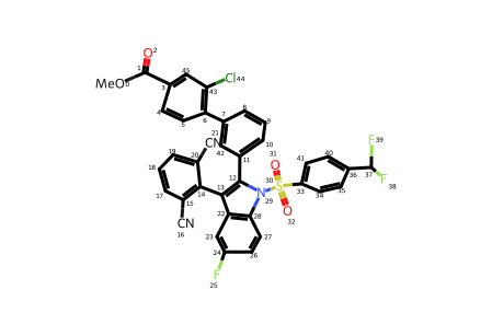 COC(=O)c1ccc(-c2cccc(-c3c(-c4c(C#N)cccc4C#N)c4cc(F)ccc4n3S(=O)(=O)c3ccc(C(F)F)cc3)c2)c(Cl)c1